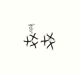 CC(C)(C)P(C(C)(C)C)C(C)(C)C.CC(C)(C)P(C(C)(C)C)C(C)(C)C.[Cl-].[Cl-].[Ni+2]